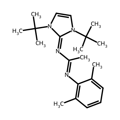 C/C(N=c1n(C(C)(C)C)ccn1C(C)(C)C)=N\c1c(C)cccc1C